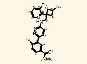 CNC(=O)c1ccc(F)c(-c2ccc(NCC3(c4ncccc4F)CC(F)C3)nn2)c1